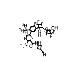 O=C(O)C(F)(F)F.[2H]C([2H])([2H])c1ccc([C@](O)(CO)C(F)(F)F)cc1-c1cnc(N)c(C(=O)NC2CC(C#N)C2)n1